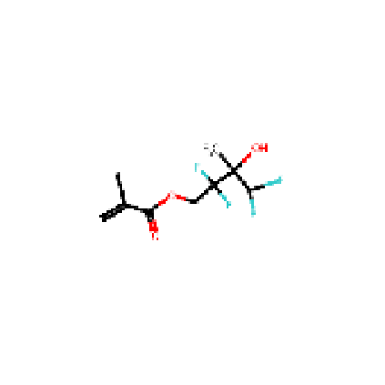 C=C(C)C(=O)OCC(F)(F)C(O)(C(F)F)C(F)(F)F